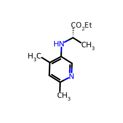 CCOC(=O)[C@H](C)Nc1cnc(C)cc1C